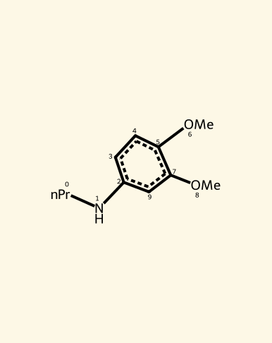 CCCNc1ccc(OC)c(OC)c1